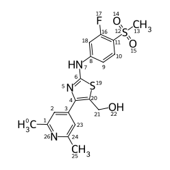 Cc1cc(-c2nc(Nc3ccc(S(C)(=O)=O)c(F)c3)sc2CO)cc(C)n1